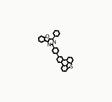 c1ccc(-c2nc(-c3ccc(-c4ccc5c(c4)c4cccc6sc7cccc5c7c64)cc3)nc3c2oc2ccccc23)cc1